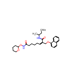 COCC(C)NC(=O)C(=CCCCCC(=O)NOC1CCCCO1)COc1cccc2ccccc12